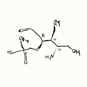 N[C@@H](CO)[C@H](O)[C@H](C=O)OP(=O)(O)O